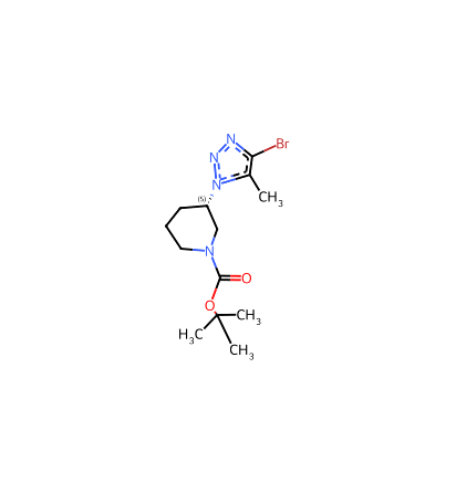 Cc1c(Br)nnn1[C@H]1CCCN(C(=O)OC(C)(C)C)C1